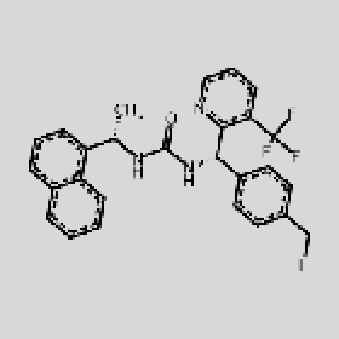 C[C@H](NC(=O)N[C@@H](c1ccc(CF)cc1)c1ncccc1C(F)(F)F)c1cccc2ccccc12